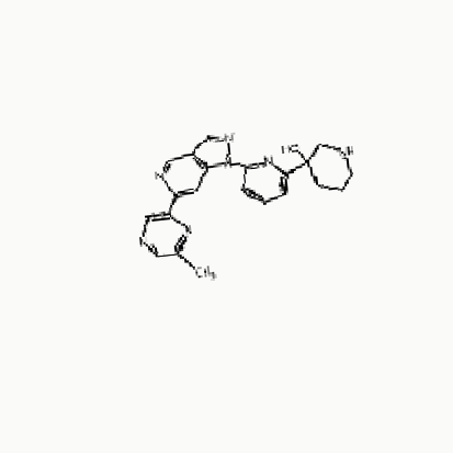 Cc1cncc(-c2cc3c(cn2)cnn3-c2cccc(C3(O)CCCNC3)n2)n1